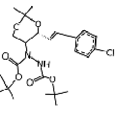 CC(C)(C)OC(=O)NN(C(=O)OC(C)(C)C)C1CCC(C)(C)O[C@@H]1/C=C/c1ccc(Cl)cc1